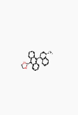 Cc1ccc(-c2c3ccccc3c(B3OCCO3)c3ccccc23)c2ccccc12